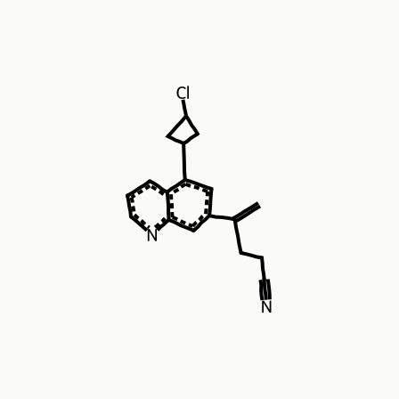 C=C(CCC#N)c1cc(C2CC(Cl)C2)c2cccnc2c1